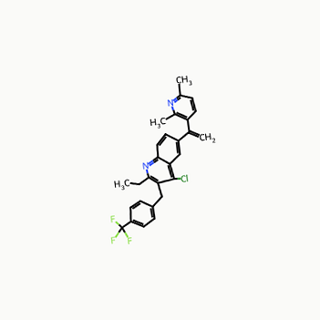 C=C(c1ccc2nc(CC)c(Cc3ccc(C(F)(F)F)cc3)c(Cl)c2c1)c1ccc(C)nc1C